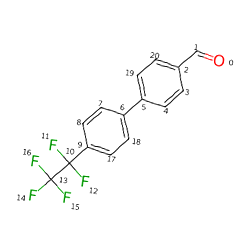 O=Cc1ccc(-c2ccc(C(F)(F)C(F)(F)F)cc2)cc1